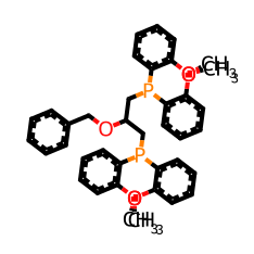 COc1ccccc1P(CC(CP(c1ccccc1OC)c1ccccc1OC)OCc1ccccc1)c1ccccc1OC